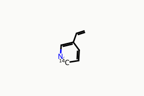 C=Cc1cc[14cH]nc1